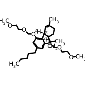 [2H][C@@]1(C(=C)C)CCC(C)=C[C@@]1([2H])c1c(OCOCCOC)cc(CCCCC)cc1OCOCCOC